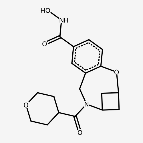 O=C(NO)c1ccc2c(c1)CN(C(=O)C1CCOCC1)C1CC(C1)O2